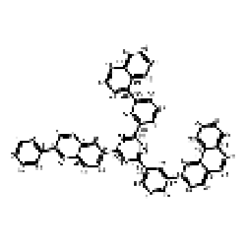 c1ccc(-c2ccc3cc(-c4nc(-c5cccc(-c6ccc7ccc8ccccc8c7c6)c5)nc(-c5cccc(-c6cccc7ccccc67)c5)n4)ccc3c2)cc1